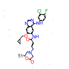 CCC1CN(C/C=C/C(=O)Nc2cc3c(Nc4ccc(F)c(Cl)c4)ncnc3cc2OCC2CC2)CC(=O)O1